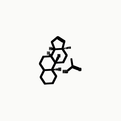 CC(=O)O.C[C@@]12C=CC[C@H]1[C@@H]1CCC3CCCC[C@@H]3[C@H]1CC2